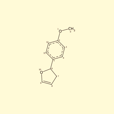 COc1ccc(C2CC=CO2)cc1